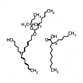 C=CC=CC=CN(C=CC=CCCOC(CCCCCCC)O[Si](C)(C)CCC)CCCCO.CCCCCCCCC(SCCCCC)C(=O)O